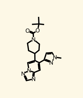 Cn1ccc(-c2cc3ncnn3cc2C2CCN(C(=O)OC(C)(C)C)CC2)n1